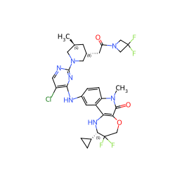 C[C@H]1C[C@H](CC(=O)N2CC(F)(F)C2)CN(c2ncc(Cl)c(Nc3ccc4c(c3)c3c(c(=O)n4C)OCC(F)(F)[C@H](C4CC4)N3)n2)C1